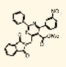 COC(=O)c1c(CN2C(=O)c3ccccc3C2=O)nc(-c2ccccc2)nc1-c1cccc([N+](=O)[O-])c1